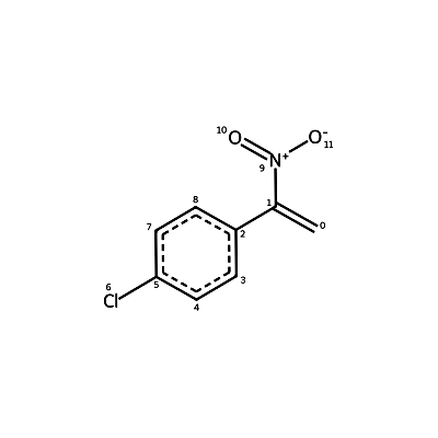 C=C(c1ccc(Cl)cc1)[N+](=O)[O-]